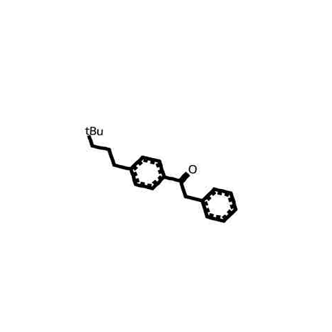 CC(C)(C)CCCc1ccc(C(=O)Cc2ccccc2)cc1